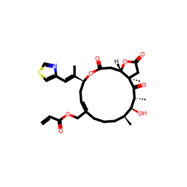 C=CC(=O)OC/C1=C/C[C@@H](/C(C)=C/c2cscn2)OC(=O)C[C@@H]2OC(=O)C[C@@]2(C)C(=O)[C@H](C)[C@@H](O)[C@@H](C)CCC1